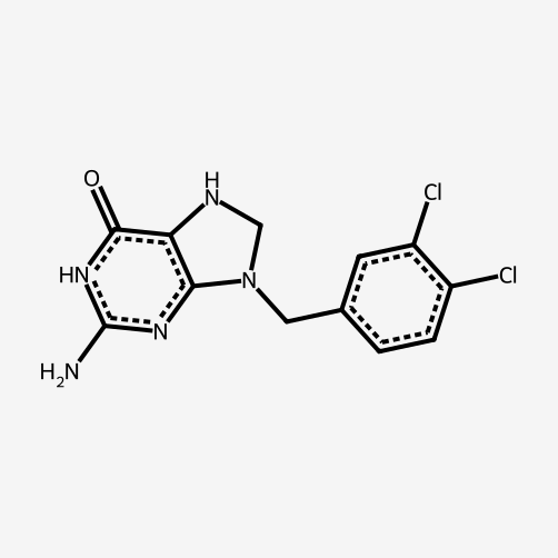 Nc1nc2c(c(=O)[nH]1)NCN2Cc1ccc(Cl)c(Cl)c1